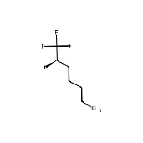 CCCCC[C@@H](I)C(F)(F)F